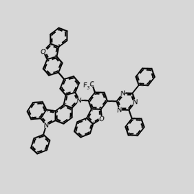 FC(F)(F)c1cc(-c2nc(-c3ccccc3)nc(-c3ccccc3)n2)c2oc3ccccc3c2c1-n1c2ccc(-c3ccc4oc5ccccc5c4c3)cc2c2c3c4ccccc4n(-c4ccccc4)c3ccc21